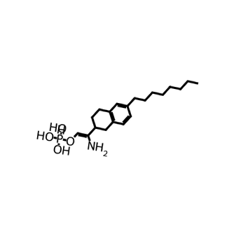 CCCCCCCCc1ccc2c(c1)CCC(/C(N)=C/O[PH](O)(O)O)C2